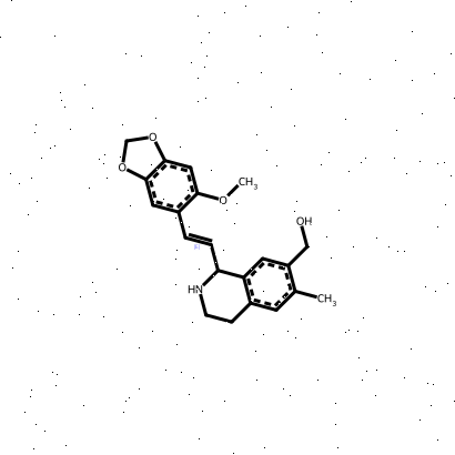 COc1cc2c(cc1/C=C/C1NCCc3cc(C)c(CO)cc31)OCO2